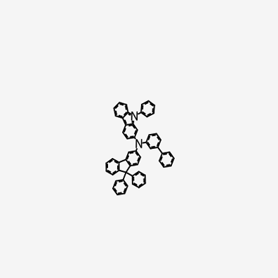 c1ccc(-c2cccc(N(c3ccc4c(c3)-c3ccccc3C4(c3ccccc3)c3ccccc3)c3ccc4c5ccccc5n(-c5ccccc5)c4c3)c2)cc1